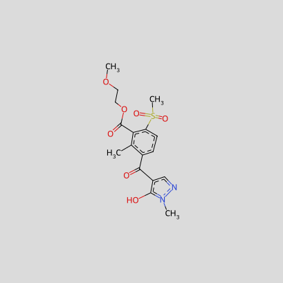 COCCOC(=O)c1c(S(C)(=O)=O)ccc(C(=O)c2cnn(C)c2O)c1C